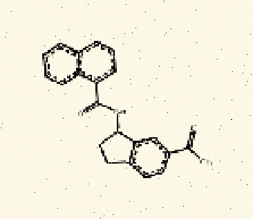 O=C(O)c1ccc2c(c1)C(NC(=O)c1cccc3ccccc13)CC2